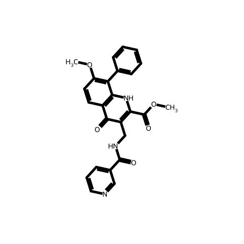 COC(=O)c1[nH]c2c(-c3ccccc3)c(OC)ccc2c(=O)c1CNC(=O)c1cccnc1